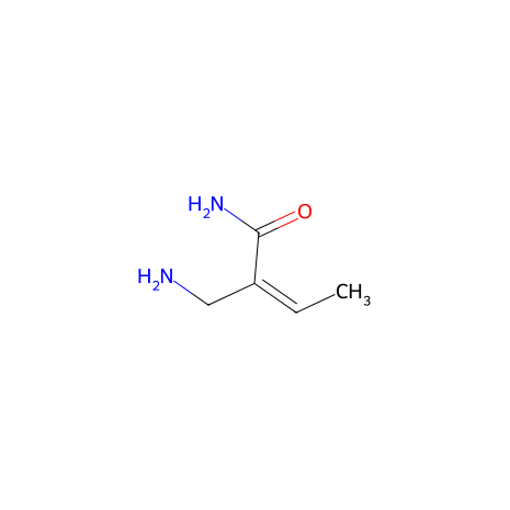 CC=C(CN)C(N)=O